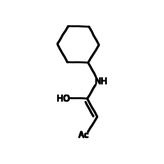 CC(=O)/C=C(\O)NC1CCCCC1